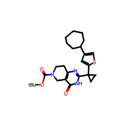 CC(C)(C)OC(=O)N1CCc2nc(C3(c4cc(C5CCCCCC5)cs4)CC3)[nH]c(=O)c2C1